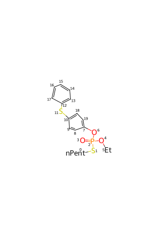 CCCCCSP(=O)(OCC)Oc1ccc(Sc2ccccc2)cc1